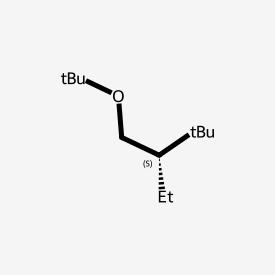 CC[C@H](COC(C)(C)C)C(C)(C)C